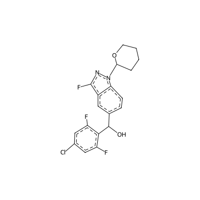 OC(c1ccc2c(c1)c(F)nn2C1CCCCO1)c1c(F)cc(Cl)cc1F